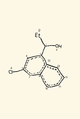 CCC(O)c1cc(Cl)cc2ccccc12